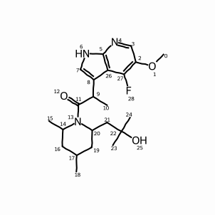 COc1cnc2[nH]cc(C(C)C(=O)N3C(C)CC(C)CC3CC(C)(C)O)c2c1F